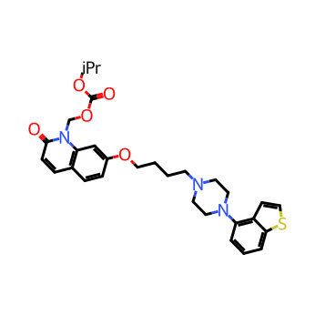 CC(C)OC(=O)OCn1c(=O)ccc2ccc(OCCCCN3CCN(c4cccc5sccc45)CC3)cc21